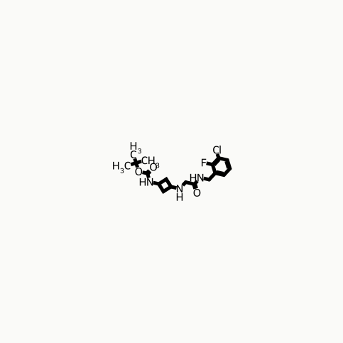 CC(C)(C)OC(=O)NC1CC(NCC(=O)NCc2cccc(Cl)c2F)C1